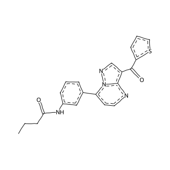 CCCC(=O)Nc1cccc(-c2ccnc3c(C(=O)c4cccs4)cnn23)c1